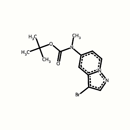 CN(C(=O)OC(C)(C)C)c1ccn2ncc(Br)c2c1